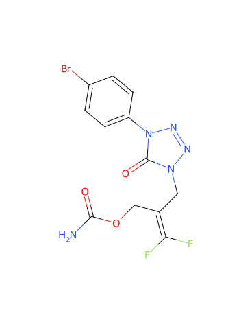 NC(=O)OCC(Cn1nnn(-c2ccc(Br)cc2)c1=O)=C(F)F